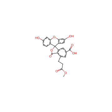 COC(=O)CCc1cc(C(=O)O)cc2c1C(=O)OC21c2ccc(O)cc2Oc2cc(O)ccc21